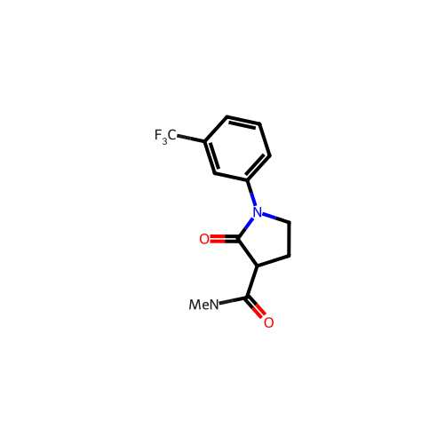 CNC(=O)C1CCN(c2cccc(C(F)(F)F)c2)C1=O